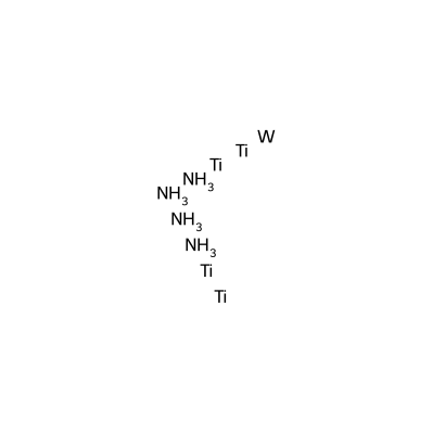 N.N.N.N.[Ti].[Ti].[Ti].[Ti].[W]